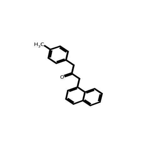 Cc1ccc(CC(=O)Cc2cccc3ccccc23)cc1